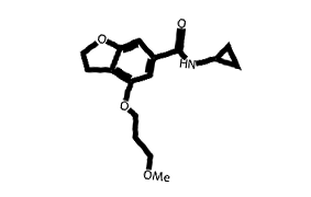 COCCCOc1cc(C(=O)NC2CC2)cc2c1CCO2